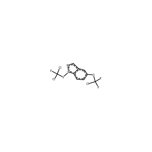 FC(F)(Cl)Oc1ccc2c(cnn2SC(F)(Cl)Cl)c1